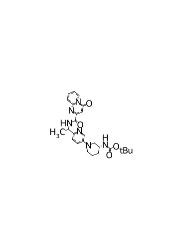 CC(NC(=O)c1cc(=O)n2ccccc2n1)c1ccc(N2CCC[C@@H](NC(=O)OC(C)(C)C)C2)cn1